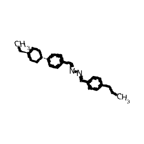 CCCc1ccc(C=NN=Cc2ccc([C@H]3CC[C@H](CC)CC3)cc2)cc1